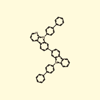 c1ccc(-c2ccc(-n3c4ccccc4c4ccc(-c5ccc6c7cccnc7n(-c7ccc(-c8ccccc8)cc7)c6c5)cc43)cc2)cc1